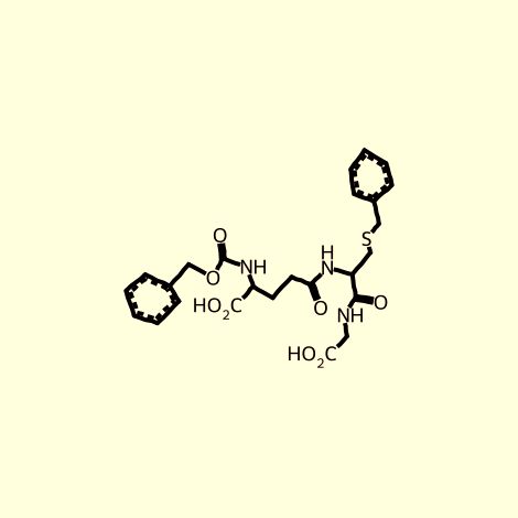 O=C(O)CNC(=O)C(CSCc1ccccc1)NC(=O)CCC(NC(=O)OCc1ccccc1)C(=O)O